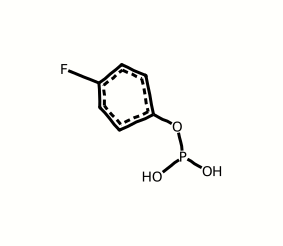 OP(O)Oc1ccc(F)cc1